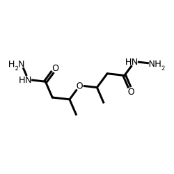 CC(CC(=O)NN)OC(C)CC(=O)NN